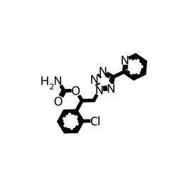 NC(=O)OC(Cn1nnc(-c2ccccn2)n1)c1ccccc1Cl